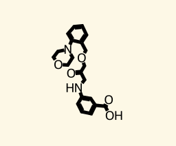 O=C(CNc1cccc(C(=O)O)c1)COCc1ccccc1N1CCOCC1